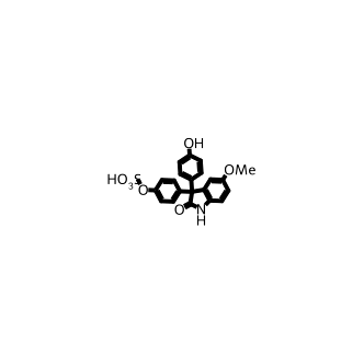 COc1ccc2c(c1)C(c1ccc(O)cc1)(c1ccc(OS(=O)(=O)O)cc1)C(=O)N2